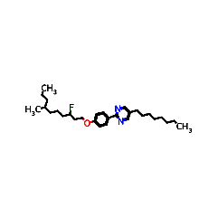 CCCCCCCCc1cnc(-c2ccc(OCCC(F)CCCC(C)CCC)cc2)nc1